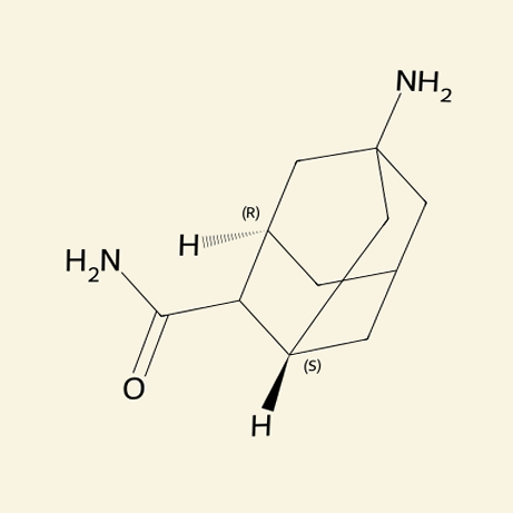 NC(=O)C1[C@@H]2CC3C[C@H]1CC(N)(C3)C2